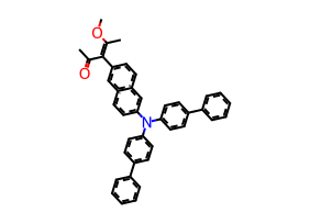 CO/C(C)=C(\C(C)=O)c1ccc2cc(N(c3ccc(-c4ccccc4)cc3)c3ccc(-c4ccccc4)cc3)ccc2c1